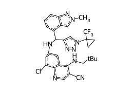 Cn1cc2c(C(Nc3cc(Cl)c4ncc(C#N)c(NCC(C)(C)C)c4c3)c3cn(C4(C(F)(F)F)CC4)nn3)cccc2n1